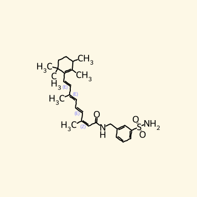 CC1=C(/C=C/C(C)=C/C=C/C(C)=C\C(=O)NCc2cccc(S(N)(=O)=O)c2)C(C)(C)CCC1C